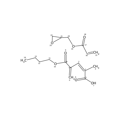 C=C(C=C(C)C(=O)O)C(=O)OCCCC.C=CC(=O)OCC1CO1